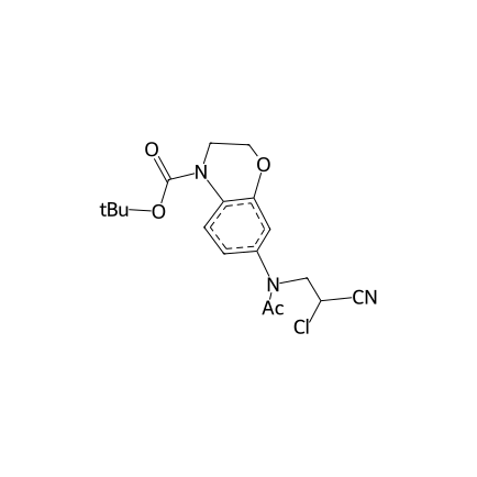 CC(=O)N(CC(Cl)C#N)c1ccc2c(c1)OCCN2C(=O)OC(C)(C)C